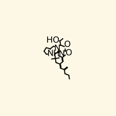 C=C(/C=C(\C=C(C)C)CC(C)(C)C/C(=N/C(C)=O)N(CC1CCCN1)C(C=O)C(C)O)CCC